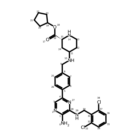 Nc1ncc(-c2ccc(CNC3CCN[C@@H](C(=O)OC4CCCC4)C3)cc2)nc1NCc1c(Cl)cccc1Cl